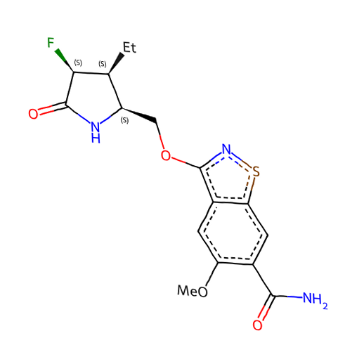 CC[C@@H]1[C@H](F)C(=O)N[C@@H]1COc1nsc2cc(C(N)=O)c(OC)cc12